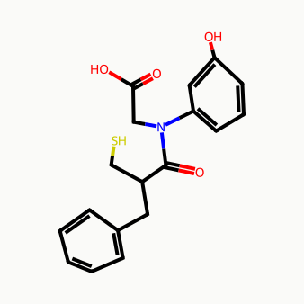 O=C(O)CN(C(=O)C(CS)Cc1ccccc1)c1cccc(O)c1